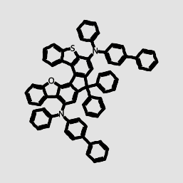 c1ccc(-c2ccc(N(c3ccccc3)c3cc4c(c5c3sc3ccccc35)-c3c(cc(N(c5ccccc5)c5ccc(-c6ccccc6)cc5)c5c3oc3ccccc35)C4(c3ccccc3)c3ccccc3)cc2)cc1